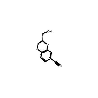 N#Cc1ccc2c(c1)O[C@H](CO)CO2